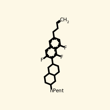 C=CCCc1cc(F)c2c(F)c(C3CCC4CC(CCCCC)CCC4C3)c(F)cc2c1